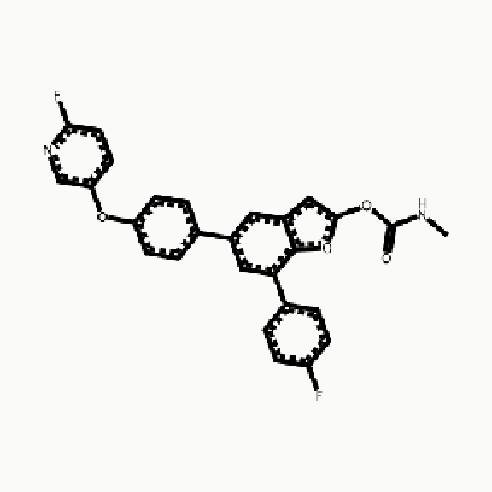 CNC(=O)Oc1cc2cc(-c3ccc(Oc4ccc(F)nc4)cc3)cc(-c3ccc(F)cc3)c2o1